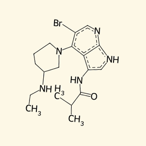 CCNC1CCCN(c2c(Br)cnc3[nH]cc(NC(=O)C(C)C)c23)C1